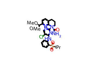 COC(OC)c1ccc2c(n1)[N+](C(N)=O)(c1ncc(Cl)c(Nc3ccccc3S(=O)(=O)C(C)C)n1)CCC2